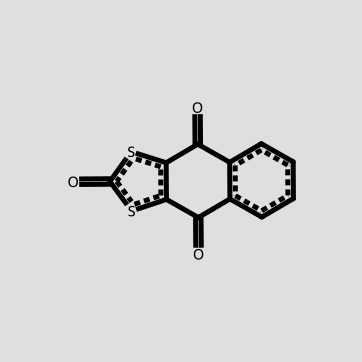 O=C1c2ccccc2C(=O)c2sc(=O)sc21